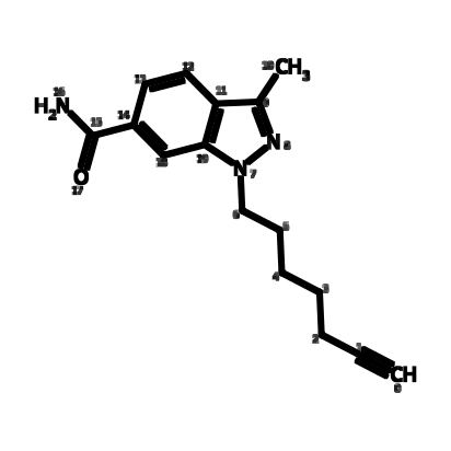 C#CCCCCCn1nc(C)c2ccc(C(N)=O)cc21